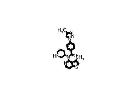 Cc1cn(-c2ccc(C(=O)N(c3nccc4scc(C)c34)[C@@H]3CCCNC3)cc2)nn1